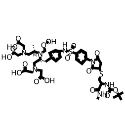 CNC(=O)C(CSC1CC(=O)N(c2ccc(S(=O)(=O)Nc3ccc(C[C@H](CN(CC(=O)O)CC(=O)O)N(COO)[C@@H](C)CN(CC(=O)O)CC(=O)O)cc3)cc2)C1=O)NC(=O)OC(C)(C)C